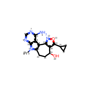 CC(C)n1c2c(c3c(N)ncnc31)-c1noc(C3CC3)c1[C@@H](O)CC2